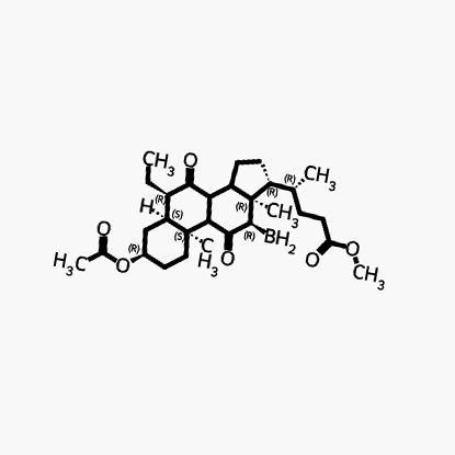 B[C@H]1C(=O)C2C(C(=O)[C@H](CC)[C@@H]3C[C@H](OC(C)=O)CC[C@]23C)C2CC[C@H]([C@H](C)CCC(=O)OC)[C@]21C